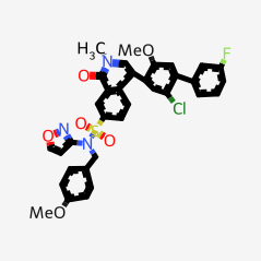 COc1ccc(CN(c2ccon2)S(=O)(=O)c2ccc3c(-c4cc(Cl)c(-c5cccc(F)c5)cc4OC)cn(C)c(=O)c3c2)cc1